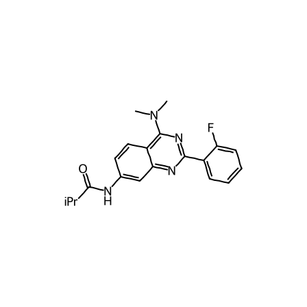 CC(C)C(=O)Nc1ccc2c(N(C)C)nc(-c3ccccc3F)nc2c1